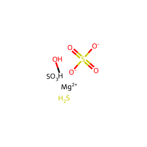 O=S(=O)(O)O.O=S(=O)([O-])[O-].S.[Mg+2]